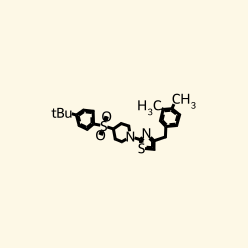 Cc1ccc(Cc2csc(N3CCC(S(=O)(=O)c4ccc(C(C)(C)C)cc4)CC3)n2)cc1C